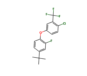 CC(C)(C)c1ccc(Oc2ccc(Cl)c(C(F)(F)F)c2)c(F)c1